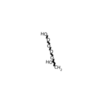 C=CCC(O)COCCOCCOCCOCCO